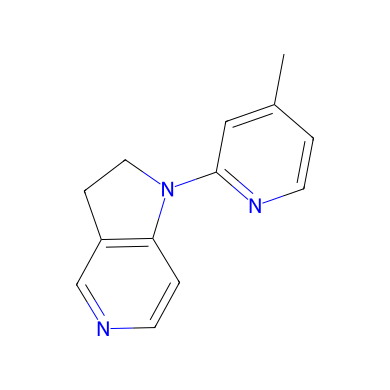 Cc1ccnc(N2CCc3cnccc32)c1